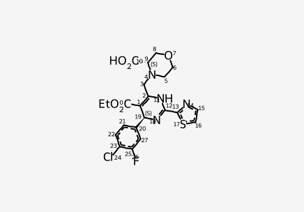 CCOC(=O)C1=C(CN2CCOC[C@H]2C(=O)O)NC(c2nccs2)=N[C@H]1c1ccc(Cl)c(F)c1